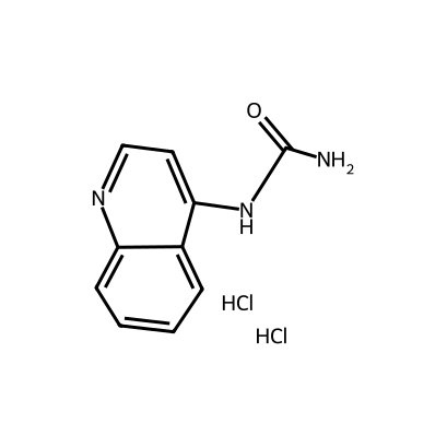 Cl.Cl.NC(=O)Nc1ccnc2ccccc12